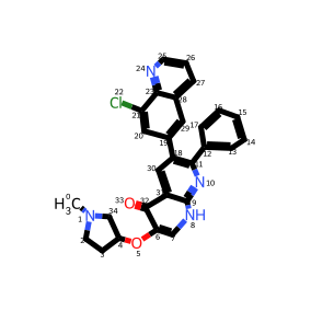 CN1CCC(Oc2c[nH]c3nc(-c4ccccc4)c(-c4cc(Cl)c5ncccc5c4)cc3c2=O)C1